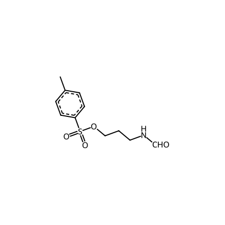 Cc1ccc(S(=O)(=O)OCCCNC=O)cc1